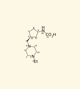 CCN1CCN(C[C@H]2CCC(NC(=O)O)C2)CC1